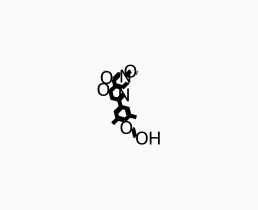 COC1=CN(OC)CC2=C1C(=O)CC(c1cc(C)c(OCCO)c(C)c1)=N2